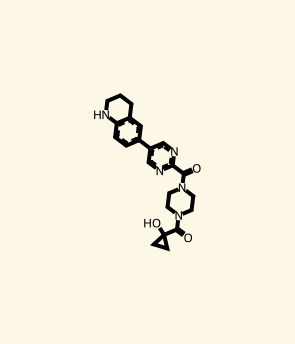 O=C(c1ncc(-c2ccc3c(c2)CCCN3)cn1)N1CCN(C(=O)C2(O)CC2)CC1